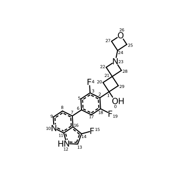 OC1(c2c(F)cc(-c3ccnc4[nH]cc(F)c34)cc2F)CC2(CN(C3COC3)C2)C1